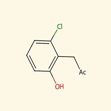 CC(=O)Cc1c(O)cccc1Cl